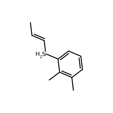 CC=C[SiH2]c1cccc(C)c1C